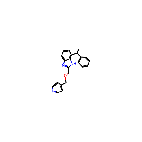 CC(c1ccccc1)c1cccc2nc(COCc3ccncc3)[nH]c12